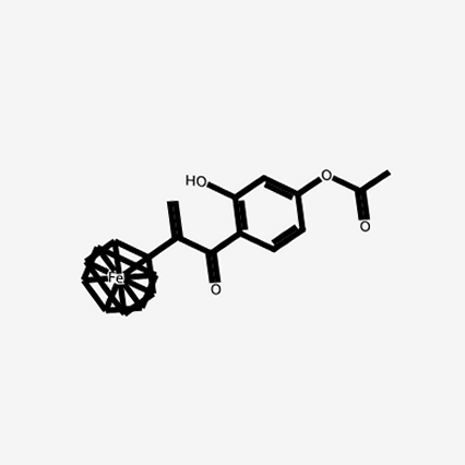 C=C(C(=O)c1ccc(OC(C)=O)cc1O)[C]12[CH]3[CH]4[CH]5[CH]1[Fe]45321678[CH]2[CH]1[CH]6[CH]7[CH]28